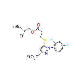 CCCCC(CC)COC(=O)CCSc1cc(C(=O)OCC)nn1-c1ccc(F)cc1F